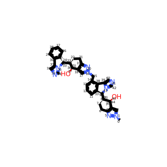 Cn1cc2c(n1)CC[C@H]([C@H]1c3cccc(Cn4cc5c(n4)CC[C@@H]([C@H]4c6ccccc6-c6cncn64)[C@@H]5O)c3-c3cncn31)[C@H]2O